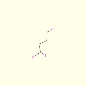 ICCCC(I)I